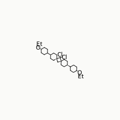 CCOC1CCC(C2CC[C@]3(CC2)C[C@@]2(CC[C@H](C4CCC(OCC)CC4)CC2)C3(Cl)Cl)CC1